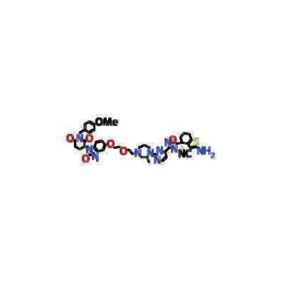 COc1ccc(CN2C(=O)CCC(n3c(=O)n(C)c4cc(OCCOCCN5CCCN(c6nccc(-c7noc([C@@]8(C)CCCc9sc(N)c(C#N)c98)n7)n6)[C@@H](C)C5)ccc43)C2=O)cc1